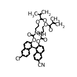 C=C(C)C(=O)OCCNC(=O)Oc1ccc2cc(Cl)ccc2c1-c1c(OC(=O)NCCOC(=O)C(=C)C)ccc2cc(C#N)ccc12